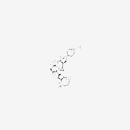 CN1CCC(n2cc(C3CC3)c(Nc3ncc(C(F)(F)F)c(-c4cc5c(s4)NCCCS5(=O)=O)n3)n2)CC1